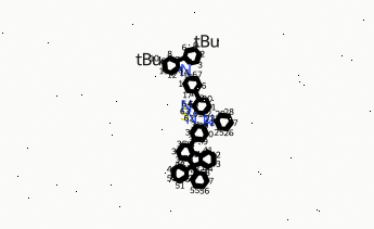 CC(C)(C)c1ccc2c(c1)c1cc(C(C)(C)C)ccc1n2-c1ccc(-c2ccc(N(c3ccccc3)c3ccc(-c4cccc5c4-c4ccccc4C5(c4ccccc4)c4ccccc4)cc3)c3nsnc23)cc1